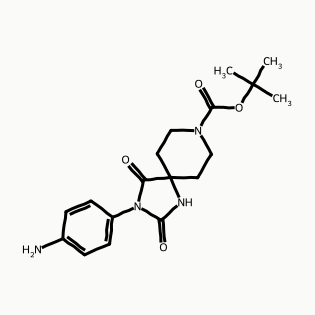 CC(C)(C)OC(=O)N1CCC2(CC1)NC(=O)N(c1ccc(N)cc1)C2=O